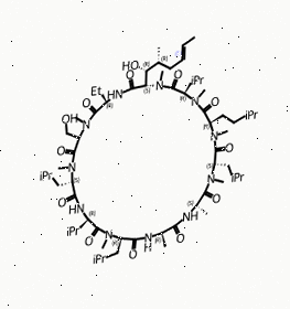 C/C=C/C[C@@H](C)[C@@H](O)[C@H]1C(=O)N[C@H](CC)C(=O)N(C)C(CO)C(=O)N(C)[C@@H](CC(C)C)C(=O)N[C@H](C(C)C)C(=O)N(C)[C@H](CC(C)C)C(=O)N[C@H](C)C(=O)N[C@@H](C)C(=O)N(C)[C@@H](CC(C)C)C(=O)N(C)[C@H](CCC(C)C)C(=O)N(C)[C@H](C(C)C)C(=O)N1C